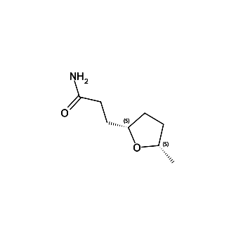 C[C@H]1CC[C@@H](CCC(N)=O)O1